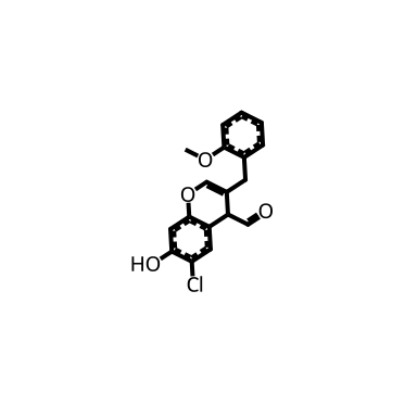 COc1ccccc1CC1=COc2cc(O)c(Cl)cc2C1C=O